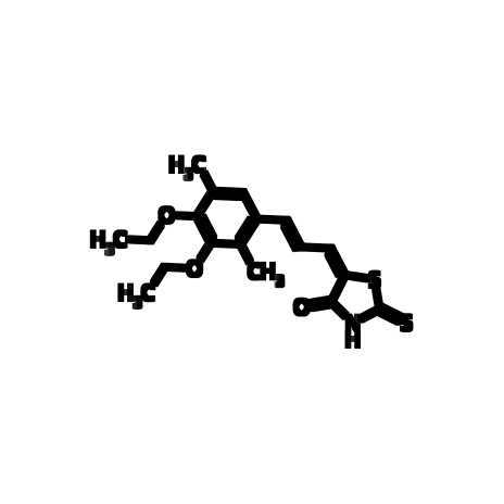 CCOc1c(C)cc(C=CC=C2SC(=S)NC2=O)c(C)c1OCC